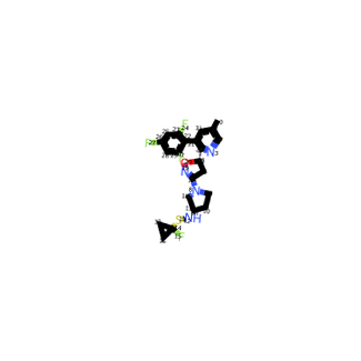 Cc1cnc([C@@H]2CC(N3CC[C@H](NSC4(F)CC4)C3)=NO2)c(-c2c(F)cc(F)cc2F)c1